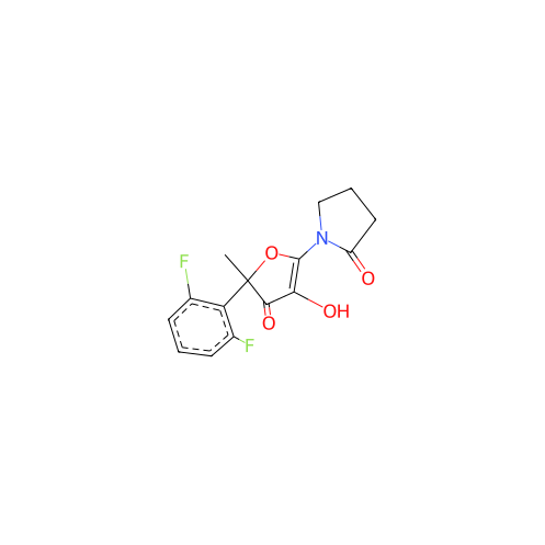 CC1(c2c(F)cccc2F)OC(N2CCCC2=O)=C(O)C1=O